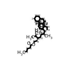 CCCCC(=O)OCC[C@H](CC[C@@H](C)[C@H]1CC[C@H]2[C@@H]3CCC4CCCC[C@]4(C)[C@H]3CC[C@]12C)C(C)C